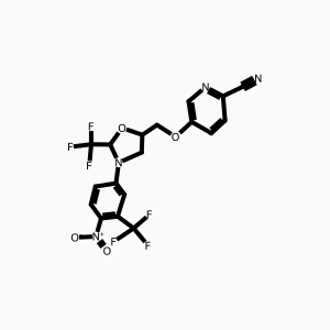 N#Cc1ccc(OCC2CN(c3ccc([N+](=O)[O-])c(C(F)(F)F)c3)C(C(F)(F)F)O2)cn1